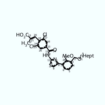 CCCCCCCOCc1cccc(-c2csc(NC(=O)c3cc(Cl)c(/C=C(\C)C(=O)O)c(Cl)c3)n2)c1OC